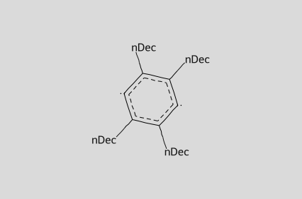 CCCCCCCCCCc1[c]c(CCCCCCCCCC)c(CCCCCCCCCC)[c]c1CCCCCCCCCC